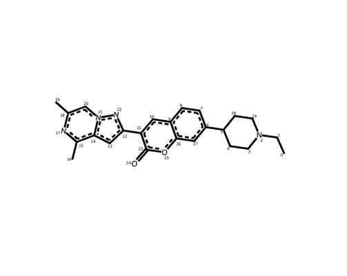 CCN1CCC(c2ccc3cc(-c4cc5c(C)nc(C)cn5n4)c(=O)oc3c2)CC1